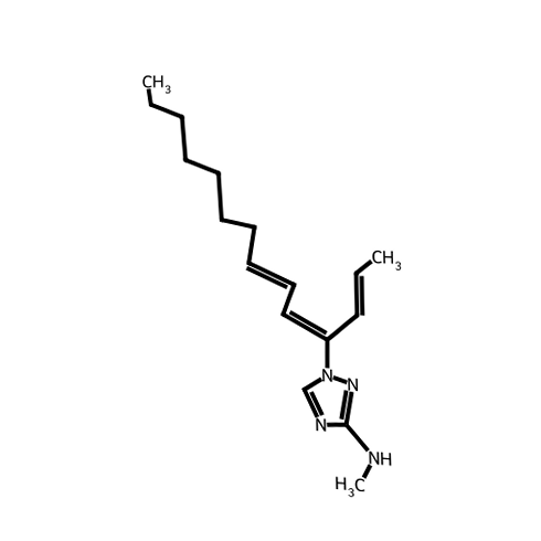 CC=CC(=CC=CCCCCCCC)n1cnc(NC)n1